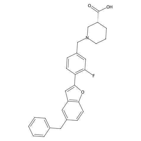 O=C(O)[C@@H]1CCCN(Cc2ccc(-c3cc4cc(Cc5ccccc5)ccc4o3)c(F)c2)C1